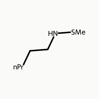 CCCCCNSC